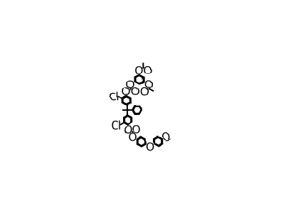 COc1ccc(Oc2ccc(OC(=O)Oc3ccc(C(C)(c4ccccc4)c4ccc(OC(=O)Oc5cc(OC(C)=O)cc(OC(C)=O)c5)c(Cl)c4)cc3Cl)cc2)cc1